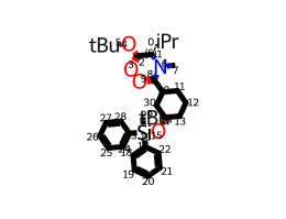 CC(C)[C@@H](C(=O)OC(C)(C)C)N(C)C(=O)C1CCCC(O[Si](c2ccccc2)(c2ccccc2)C(C)(C)C)C1